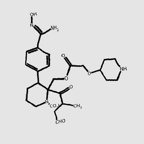 CC(CC=O)C(=O)C1(COC(=O)COC2CCNCC2)C(c2ccc(C(N)=NO)cc2)CCCN1C(=O)O